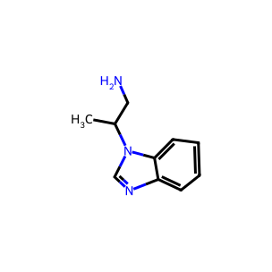 CC(CN)n1cnc2ccccc21